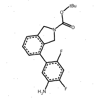 CC(C)(C)OC(=O)N1Cc2cccc(-c3cc(N)c(F)cc3F)c2C1